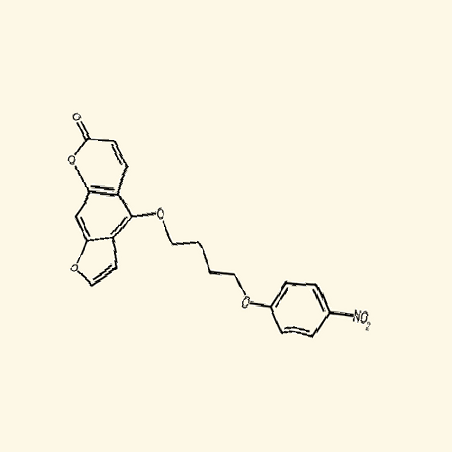 O=c1ccc2c(OCCCCOc3ccc([N+](=O)[O-])cc3)c3ccoc3cc2o1